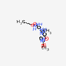 CCCCCCCOC(=O)NC(=N)c1ccc(NCc2nc3cc(C(=O)N(CCC(=O)OC)c4ccccn4)ccc3n2C)cc1